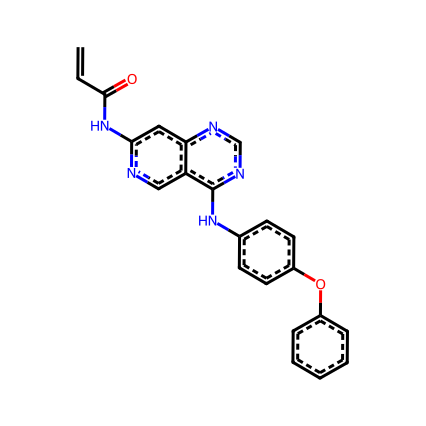 C=CC(=O)Nc1cc2ncnc(Nc3ccc(Oc4ccccc4)cc3)c2cn1